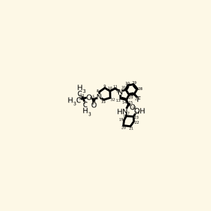 CC(C)(C)OC(=O)N1CCC(Cn2cc(C(=O)NC3CCCCC3O)c3c(F)cccc32)CC1